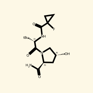 CC(C)(C)[C@H](NC(=O)C1(F)CC1)C(=O)N1C[C@H](O)C[C@H]1C(N)=O